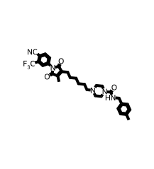 CC1=C(CCCCCCN2CCN(C(=O)NCc3ccc(C)cc3)CC2)C(=O)N(c2ccc(C#N)c(C(F)(F)F)c2)C1=O